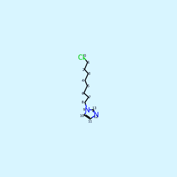 ClCCCCCCCCn1ccnc1